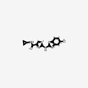 O=C(NC1CC1)c1csc(Nc2nc3cc(Cl)ccc3o2)n1